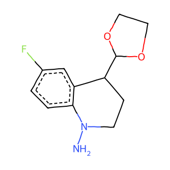 NN1CCC(C2OCCO2)c2cc(F)ccc21